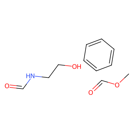 COC=O.O=CNCCO.c1ccccc1